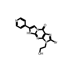 O=c1c2nc(Br)n(CCO)c2nc2[nH]c(-c3ccncc3)cn12